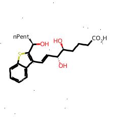 CCCCC[C@@H](O)c1sc2ccccc2c1/C=C/[C@@H](O)[C@@H](O)CCCC(=O)O